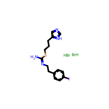 Br.Br.NC(=NCCc1ccc(I)cc1)SCCCc1cnc[nH]1